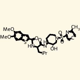 COc1cc2cc(C(=O)NC(CC(C)C)C(=O)NC3CCCN(S(=O)(=O)c4cccc(C)n4)C[C@@H]3O)sc2cc1OC